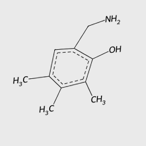 Cc1cc(CN)c(O)c(C)c1C